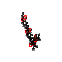 C=CC(=O)Oc1ccc(CCC(=O)Oc2ccc(-c3ccc(OC(=O)C(=C)C)c(OC(=O)C(=C)C)c3)cc2)cc1